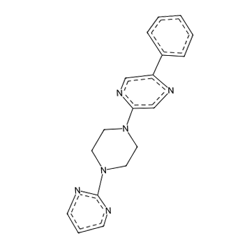 c1ccc(-c2cnc(N3CCN(c4ncccn4)CC3)cn2)cc1